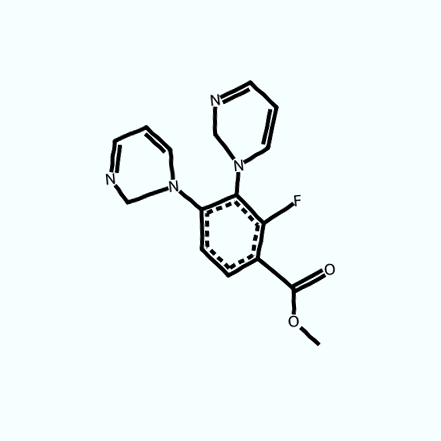 COC(=O)c1ccc(N2C=CC=NC2)c(N2C=CC=NC2)c1F